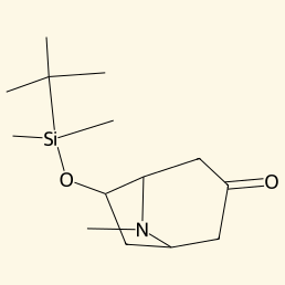 CN1C2CC(=O)CC1C(O[Si](C)(C)C(C)(C)C)C2